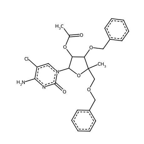 CC(=O)OC1C(n2cc(Cl)c(N)nc2=O)OC(C)(COCc2ccccc2)C1OCc1ccccc1